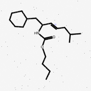 CCCCOC(=O)NC(/C=C/CC(C)C)CC1CCCCC1